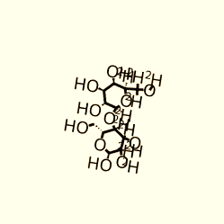 [2H]OC([2H])([2H])[C@@]1([2H])O[C@@]([2H])(O[C@]2([2H])[C@@H](CO)O[C@H](O)[C@]([2H])(O[2H])[C@@]2([2H])O[2H])[C@H](O)[C@@H](O)[C@H]1O